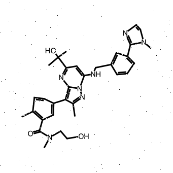 Cc1ccc(-c2c(C)nn3c(NCc4cccc(-c5nccn5C)c4)cc(C(C)(C)O)nc23)cc1C(=O)N(C)CCO